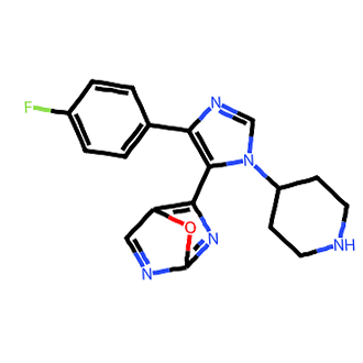 Fc1ccc(-c2ncn(C3CCNCC3)c2-c2nc3ncc2o3)cc1